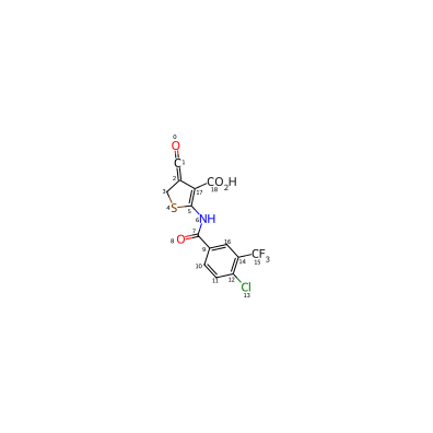 O=C=C1CSC(NC(=O)c2ccc(Cl)c(C(F)(F)F)c2)=C1C(=O)O